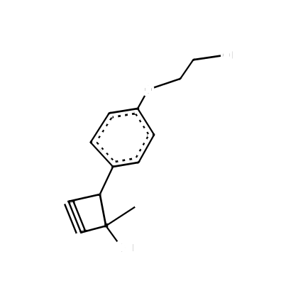 CC1(O)C#CC1c1ccc(OCCO)cc1